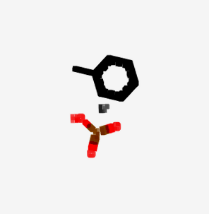 Cc1ccccc1.O=[S-](=O)O.[Li+]